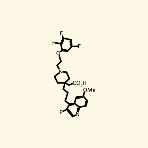 COc1ccc2ncc(F)c(CCCC3(CC(=O)O)CCN(CCOc4cc(F)cc(F)c4F)CC3)c2c1